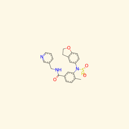 Cc1ccc(C(=O)NCc2cccnc2)cc1N(c1ccc2c(c1)CCO2)[SH](=O)=O